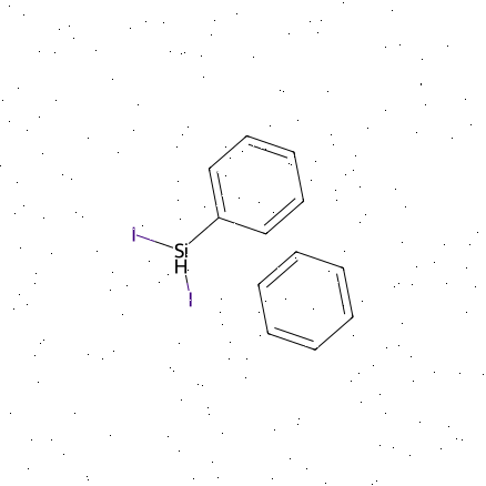 I[SiH](I)c1ccccc1.c1ccccc1